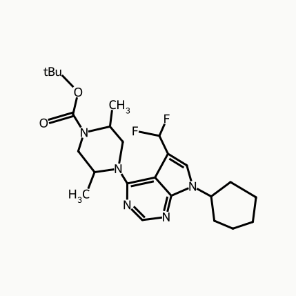 CC1CN(c2ncnc3c2c(C(F)F)cn3C2CCCCC2)C(C)CN1C(=O)OC(C)(C)C